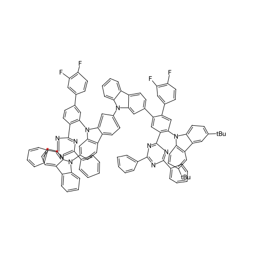 CC(C)(C)c1ccc2c(c1)c1cc(C(C)(C)C)ccc1n2-c1cc(-c2ccc(F)c(F)c2)c(-c2ccc3c4ccccc4n(-c4ccc5c6ccc(-n7c8ccccc8c8ccccc87)cc6n(-c6cc(-c7ccc(F)c(F)c7)ccc6-c6nc(-c7ccccc7)nc(-c7ccccc7)n6)c5c4)c3c2)cc1-c1nc(-c2ccccc2)nc(-c2ccccc2)n1